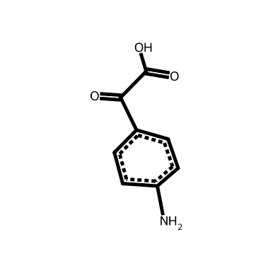 Nc1ccc(C(=O)C(=O)O)cc1